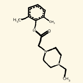 CCN1CCN(CC(=O)Oc2c(C)cccc2C)CC1